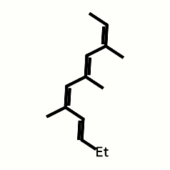 C\C=C(C)/C=C(C)/C=C(C)\C=C\CC